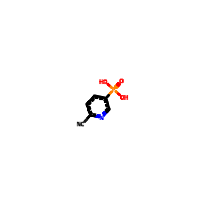 N#Cc1ccc(P(=O)(O)O)cn1